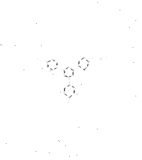 CC(=O)c1ccc(-c2cc(-c3ccc(C=O)cc3)cc(-c3ccc(C=O)cc3)c2)cc1